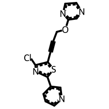 Clc1nc(-c2cccnc2)sc1C#CCOc1cnccn1